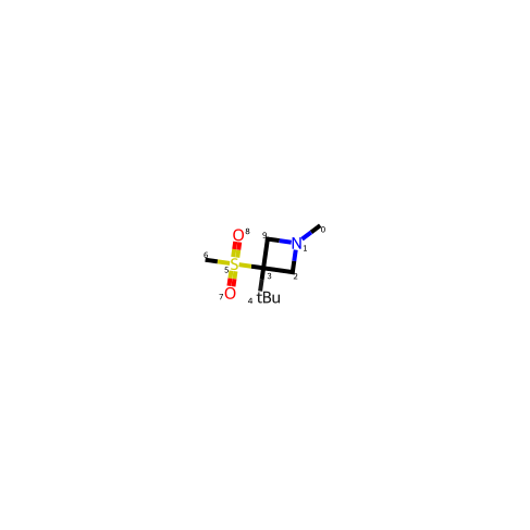 CN1CC(C(C)(C)C)(S(C)(=O)=O)C1